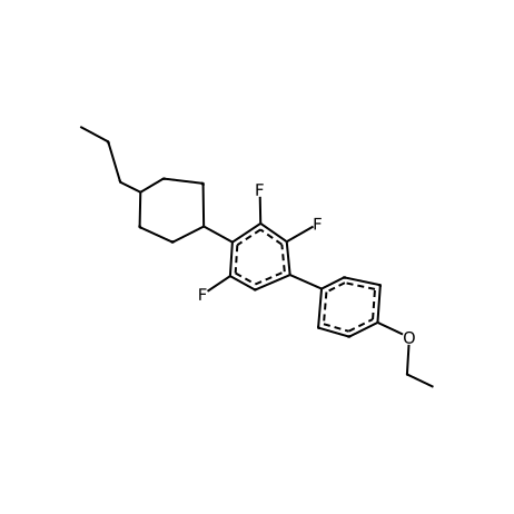 CCCC1CCC(c2c(F)cc(-c3ccc(OCC)cc3)c(F)c2F)CC1